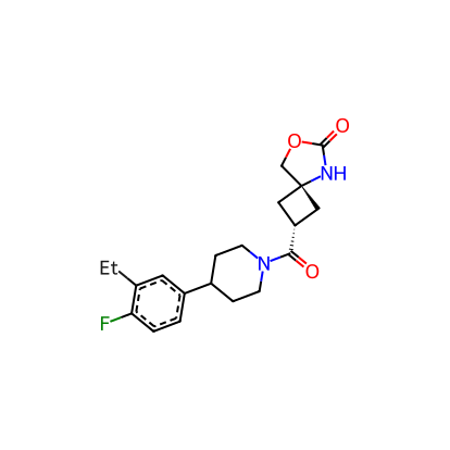 CCc1cc(C2CCN(C(=O)[C@H]3C[C@]4(COC(=O)N4)C3)CC2)ccc1F